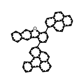 c1ccc2cc3c(cc2c1)oc1c(-c2ccc4ccc5cccc6ccc2c4c56)ccc(-c2ccc4c5ccccc5c5cccc6ccc2c4c65)c13